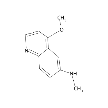 CNc1ccc2nccc(OC)c2c1